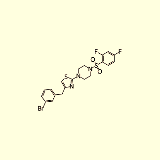 O=S(=O)(c1ccc(F)cc1F)N1CCN(c2nc(Cc3cccc(Br)c3)cs2)CC1